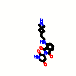 O=C1CNC(=O)C(N2C(=O)c3cccc(NCCC4CC5(CNC5)C4)c3C2=O)C1